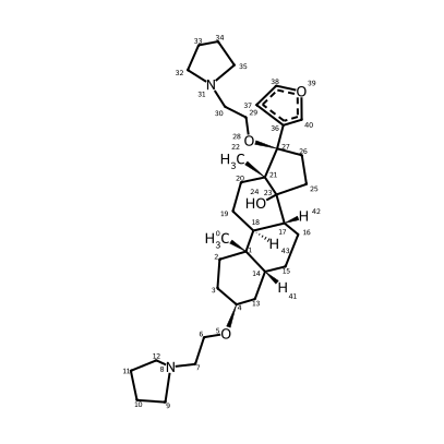 C[C@]12CC[C@H](OCCN3CCCC3)C[C@H]1CC[C@@H]1[C@@H]2CC[C@@]2(C)C1(O)CC[C@@]2(OCCN1CCCC1)c1ccoc1